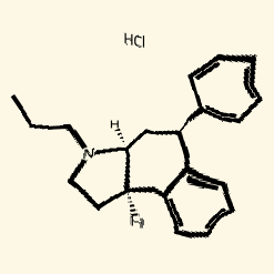 CCCN1CC[C@@H]2c3ccccc3[C@H](c3ccccc3)C[C@@H]21.Cl